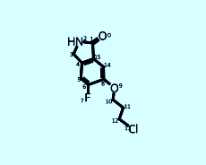 O=C1NCc2cc(F)c(OCCCCl)cc21